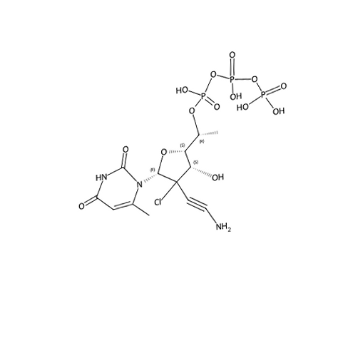 Cc1cc(=O)[nH]c(=O)n1[C@@H]1O[C@H]([C@@H](C)OP(=O)(O)OP(=O)(O)OP(=O)(O)O)[C@H](O)C1(Cl)C#CN